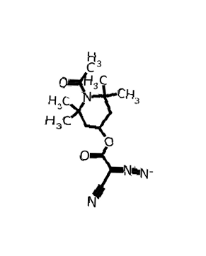 CC(=O)N1C(C)(C)CC(OC(=O)C(C#N)=[N+]=[N-])CC1(C)C